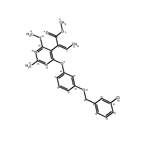 CC=C(C(=O)OC)c1c(Oc2cccc(OCc3cccc(Cl)c3)c2)nc(C)nc1SC